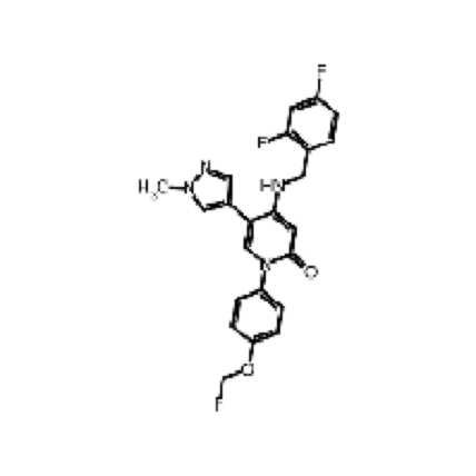 Cn1cc(-c2cn(-c3ccc(OCF)cc3)c(=O)cc2NCc2ccc(F)cc2F)cn1